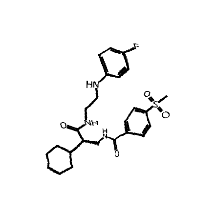 CS(=O)(=O)c1ccc(C(=O)NCC(C(=O)NCCNc2ccc(F)cc2)C2CCCCC2)cc1